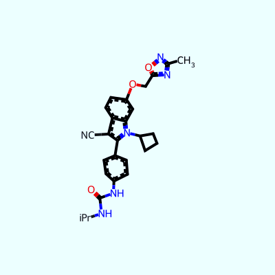 Cc1noc(COc2ccc3c(C#N)c(-c4ccc(NC(=O)NC(C)C)cc4)n(C4CCC4)c3c2)n1